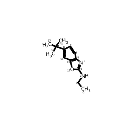 CCNc1nc2ccc(C(C)(C)C)cc2o1